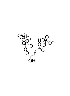 O=C(O)C=CC(=O)O.O=P([O-])([O-])[O-].O=P([O-])([O-])[O-].[Ca+2].[Ca+2].[Ca+2]